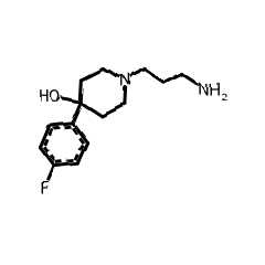 NCCCN1CCC(O)(c2ccc(F)cc2)CC1